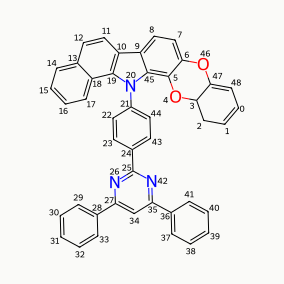 C1=CCC2Oc3c(ccc4c5ccc6ccccc6c5n(-c5ccc(-c6nc(-c7ccccc7)cc(-c7ccccc7)n6)cc5)c34)OC2=C1